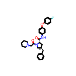 O=C(Nc1ccc(Oc2ccc(F)cc2)cc1)[C@@H]1C[C@@H](Cc2ccccc2)CN1C(=O)CN1CCCCC1